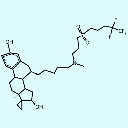 CN(CCCCC[C@@H]1Cc2cc(O)ccc2C2CC[C@@]3(C)C(C[C@@H](O)C34CC4)C21)CCCS(=O)(=O)CCCC(F)(F)C(F)(F)F